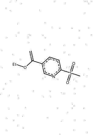 C=C(OCC)c1ccc(S(C)(=O)=O)nc1